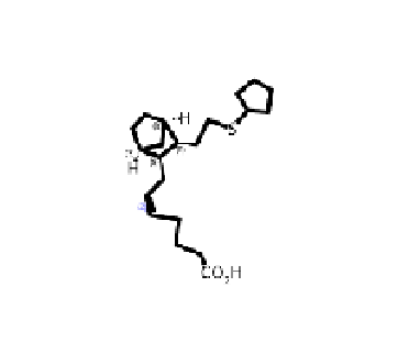 O=C(O)CCC/C=C\C[C@H]1[C@H]2CC[C@H](C2)[C@H]1CCSC1CCCC1